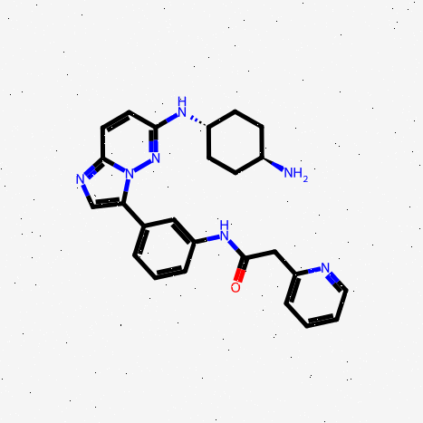 N[C@H]1CC[C@H](Nc2ccc3ncc(-c4cccc(NC(=O)Cc5ccccn5)c4)n3n2)CC1